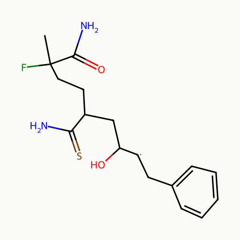 CC(F)(CCC(CC(O)[CH]Cc1ccccc1)C(N)=S)C(N)=O